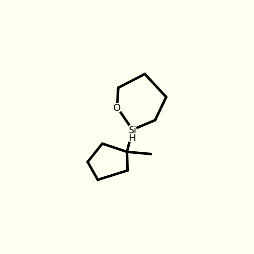 CC1([SiH]2CCCCO2)CCCC1